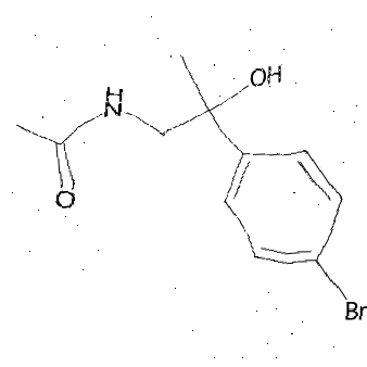 CC(=O)NCC(C)(O)c1ccc(Br)cc1